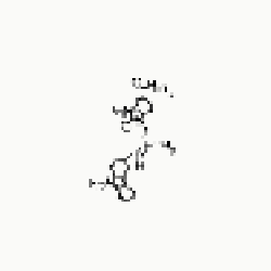 CCn1c2ccccc2c2cc(CNC(C)CCn3c(=O)[nH]c4cc(C(N)=O)ccc43)ccc21